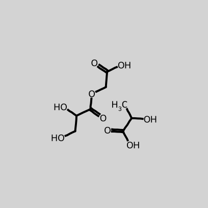 CC(O)C(=O)O.O=C(O)COC(=O)C(O)CO